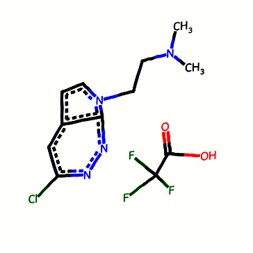 CN(C)CCn1ccc2cc(Cl)nnc21.O=C(O)C(F)(F)F